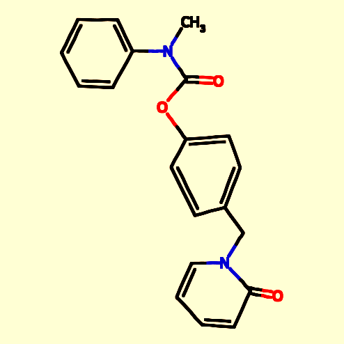 CN(C(=O)Oc1ccc(Cn2ccccc2=O)cc1)c1ccccc1